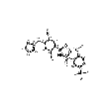 COc1ccc(C(C)(C)C)cc1S(=O)(=O)NC(=O)c1cc(Br)c(Cn2cccn2)cc1F